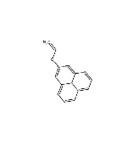 C=COC1=CC2=CC=CC3=CC=CC(=C1)C32